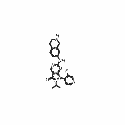 CC(C)n1c(=O)c2cnc(Nc3ccc4c(c3)CNCC4)nc2n1-c1ccncc1F